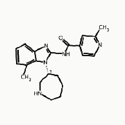 Cc1cc(C(=O)Nc2nc3cccc(C)c3n2[C@@H]2CCCCNC2)ccn1